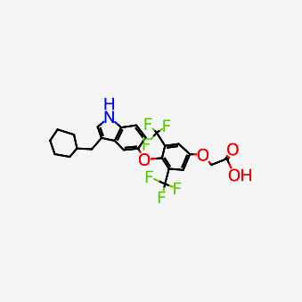 O=C(O)COc1cc(C(F)(F)F)c(Oc2ccc3[nH]cc(CC4CCCCC4)c3c2)c(C(F)(F)F)c1